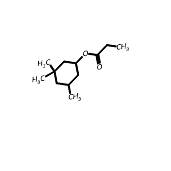 CCC(=O)OC1CC(C)CC(C)(C)C1